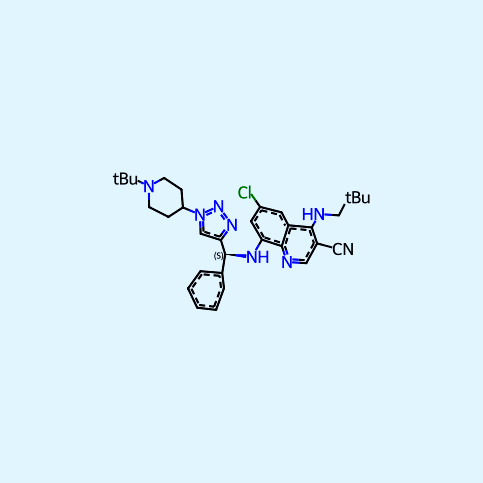 CC(C)(C)CNc1c(C#N)cnc2c(N[C@@H](c3ccccc3)c3cn(C4CCN(C(C)(C)C)CC4)nn3)cc(Cl)cc12